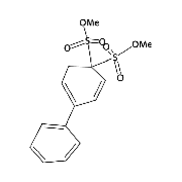 COS(=O)(=O)C1(S(=O)(=O)OC)C=CC(c2ccccc2)=CC1